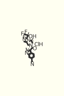 C[C@H]1CN(C(=O)c2c3ccc(C#N)cc3nn2C)Cc2cnc([C@@](C)(O)C(F)(F)F)n21.Cl